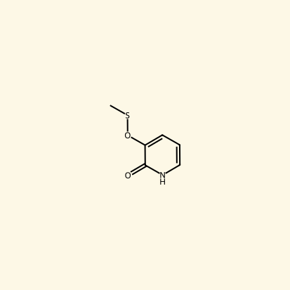 CSOc1ccc[nH]c1=O